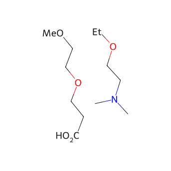 CCOCCN(C)C.COCCOCCC(=O)O